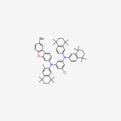 Cc1cc2c(cc1N(c1cc(Cl)cc(N(c3ccc4c(c3)C(C)(C)CCC4(C)C)c3ccc4c(c3)C(C)(C)CCC4(C)C)c1)c1ccc3c(c1)oc1ccc(C(C)(C)C)cc13)C(C)(C)CCC2(C)C